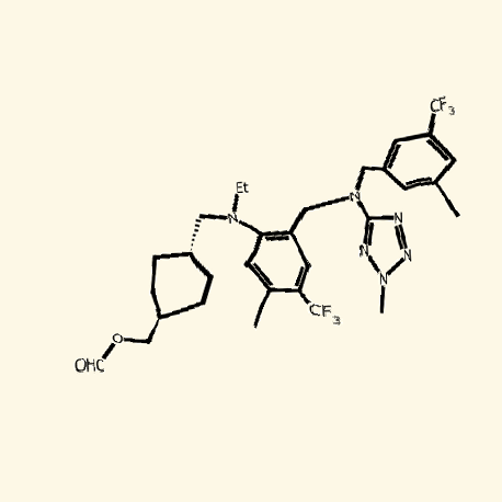 CCN(C[C@H]1CC[C@H](COC=O)CC1)c1cc(C)c(C(F)(F)F)cc1CN(Cc1cc(C)cc(C(F)(F)F)c1)c1nnn(C)n1